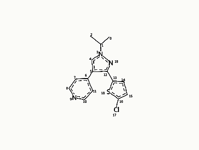 CC(C)n1cc(-c2ccncc2)c(-c2ccc(Cl)s2)n1